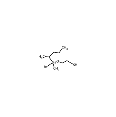 CCC[CH](C)[Sn]([CH3])([Br])[O]CCS